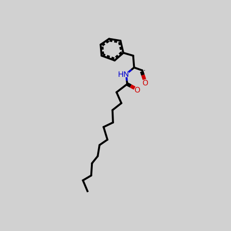 CCCCCCCCCCCCC(=O)NC([C]=O)Cc1ccccc1